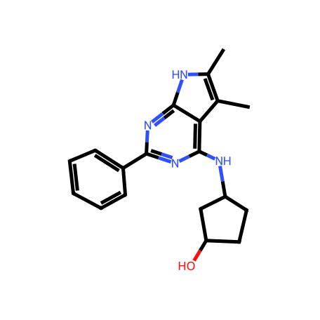 Cc1[nH]c2nc(-c3ccccc3)nc(NC3CCC(O)C3)c2c1C